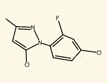 Cc1cc(Cl)n(-c2ccc(Cl)cc2F)n1